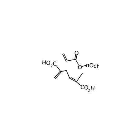 C=C(CC=C(C)C(=O)O)C(=O)O.C=CC(=O)OCCCCCCCC